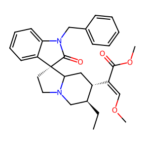 CC[C@H]1CN2CC[C@]3(C(=O)N(Cc4ccccc4)c4ccccc43)C2C[C@@H]1/C(=C\OC)C(=O)OC